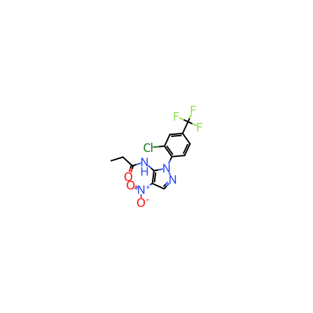 CCC(=O)Nc1c([N+](=O)[O-])cnn1-c1ccc(C(F)(F)F)cc1Cl